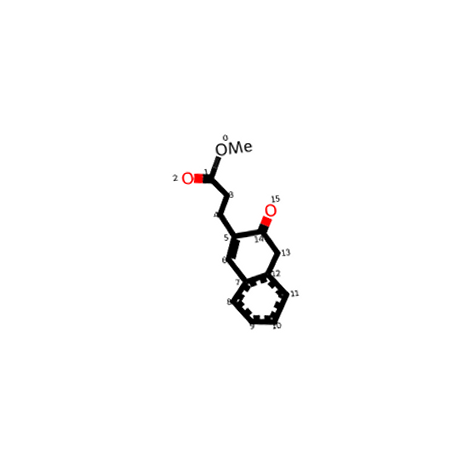 COC(=O)CCC1=Cc2ccccc2CC1=O